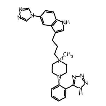 C[N+]1(CCCc2c[nH]c3ccc(-n4cnnc4)cc23)CCN(c2ccccc2-c2nnn[nH]2)CC1